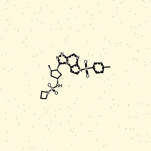 Cc1ccc(S(=O)(=O)n2ccc3c2ncc2nnc([C@H]4C[C@@H](NS(=O)(=O)N5CCC5)C[C@H]4C)n23)cc1